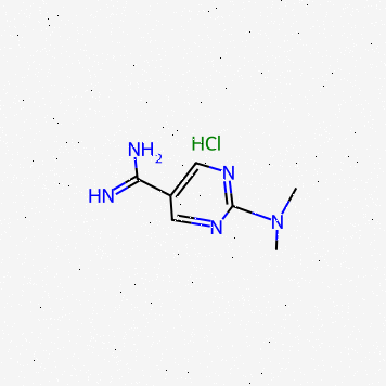 CN(C)c1ncc(C(=N)N)cn1.Cl